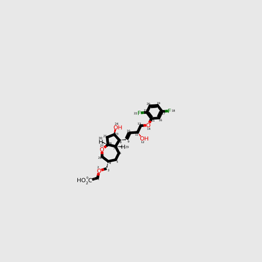 O=C(O)COC[C@H]1CC[C@@H]2[C@@H](C=C[C@@H](O)COc3cc(F)ccc3F)[C@H](O)C[C@@H]2OC1